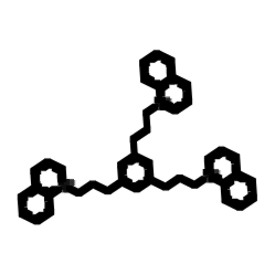 c1ccc2c(c1)ccc[n+]2CCCc1cc(CCC[n+]2cccc3ccccc32)cc(CCC[n+]2cccc3ccccc32)c1